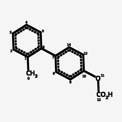 Cc1ccccc1-c1ccc(OC(=O)O)cc1